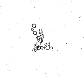 Nc1ncnc2c1c(-c1ccc(Oc3ccccc3)cc1)nn2C1CCC(CN2CC3CCC(C2)N3c2cc3cn(C4CCC(=O)NC4=O)cc3cc2F)CC1F